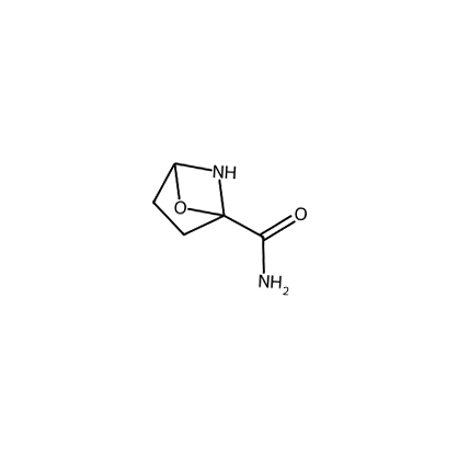 NC(=O)C12CCC(N1)O2